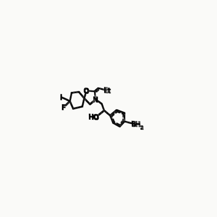 Bc1ccc(C(O)CN2CC3(CCC(F)(I)CC3)OC2=CCC)cc1